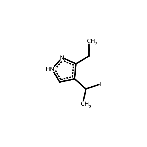 CCc1n[nH]cc1C(C)I